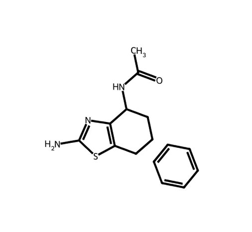 CC(=O)NC1CCCc2sc(N)nc21.c1ccccc1